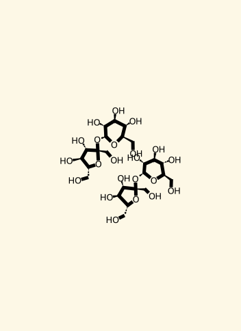 OC[C@H]1O[C@@](CO)(O[C@H]2O[C@H](CO)[C@@H](O)[C@H](O)[C@H]2O)[C@@H](O)[C@@H]1O.OC[C@H]1O[C@@](CO)(O[C@H]2O[C@H](CO)[C@@H](O)[C@H](O)[C@H]2O)[C@@H](O)[C@@H]1O